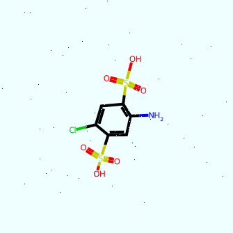 Nc1cc(S(=O)(=O)O)c(Cl)cc1S(=O)(=O)O